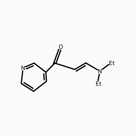 CCN(C=CC(=O)c1cccnc1)CC